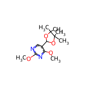 COc1ncc(C2OC(C)(C)C(C)(C)O2)c(OC)n1